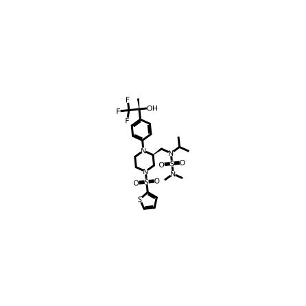 CC(C)N(C[C@H]1CN(S(=O)(=O)c2cccs2)CCN1c1ccc([C@@](C)(O)C(F)(F)F)cc1)S(=O)(=O)N(C)C